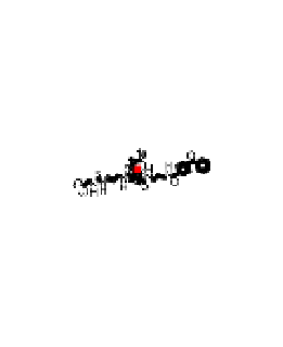 CCC(C)(C(=O)NCCCNC(=O)c1ccc(C(=O)c2ccccc2)cc1)C(C)(CCC(C)C(=O)N(C)C)C(=O)NCCCNC(=S)NCC(OC)OC